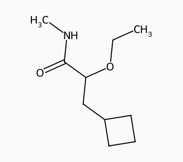 CCOC(CC1CCC1)C(=O)NC